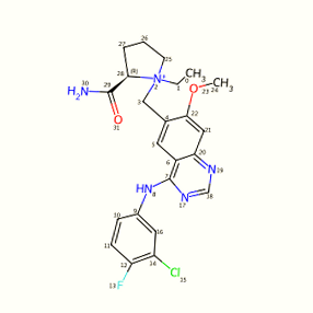 CC[N+]1(Cc2cc3c(Nc4ccc(F)c(Cl)c4)ncnc3cc2OC)CCC[C@@H]1C(N)=O